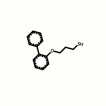 SCCCOc1ccccc1-c1ccccc1